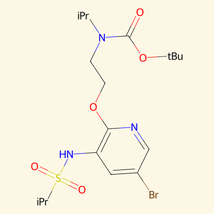 CC(C)N(CCOc1ncc(Br)cc1NS(=O)(=O)C(C)C)C(=O)OC(C)(C)C